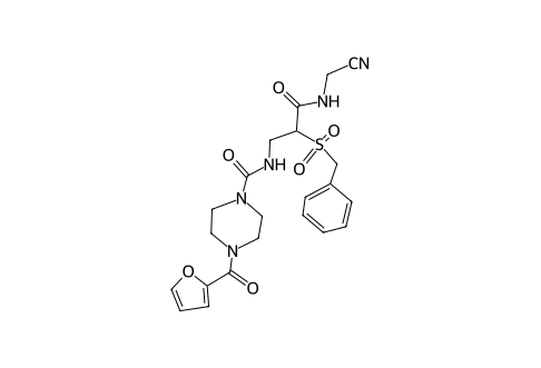 N#CCNC(=O)C(CNC(=O)N1CCN(C(=O)c2ccco2)CC1)S(=O)(=O)Cc1ccccc1